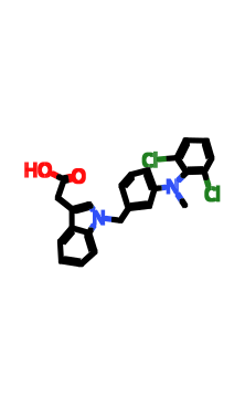 CN(c1cccc(Cn2cc(CC(=O)O)c3ccccc32)c1)c1c(Cl)cccc1Cl